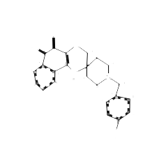 O=C1C(=O)c2ccccc2C2=C1SCC1(CCN(Cc3ccc(F)cc3)CC1)O2